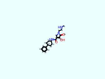 CNCCN1CC(C(=O)NC2CCC(c3ccccc3)CC2)=C(O)C1=O